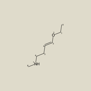 CCOC=CCCNC